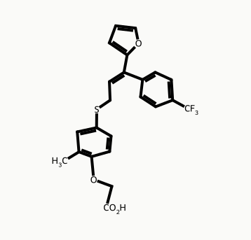 Cc1cc(SC/C=C(\c2ccc(C(F)(F)F)cc2)c2ccco2)ccc1OCC(=O)O